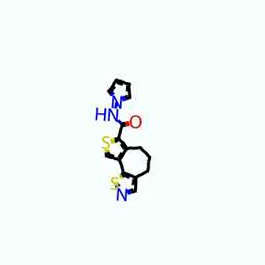 O=C(Nn1cccc1)c1scc2c1CCCc1cnsc1-2